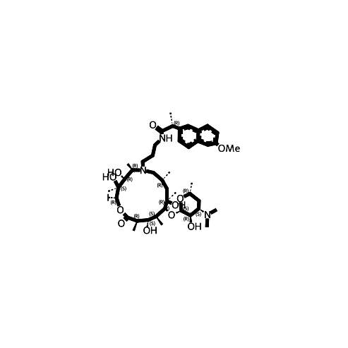 COc1ccc2cc([C@@H](C)C(=O)NCCCN3C[C@H](C)C[C@@](C)(O)[C@H](O[C@@H]4O[C@H](C)C[C@H](N(C)C)[C@H]4O)[C@@H](C)[C@H](O)[C@@H](C)C(=O)O[C@H](I)[C@@](C)(O)[C@H](O)[C@H]3C)ccc2c1